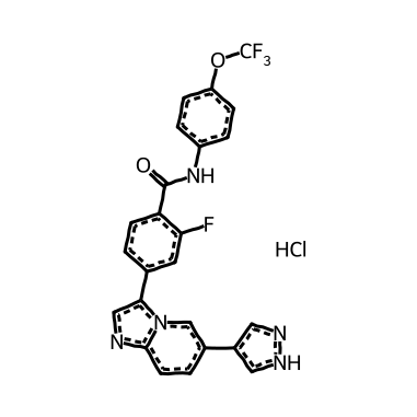 Cl.O=C(Nc1ccc(OC(F)(F)F)cc1)c1ccc(-c2cnc3ccc(-c4cn[nH]c4)cn23)cc1F